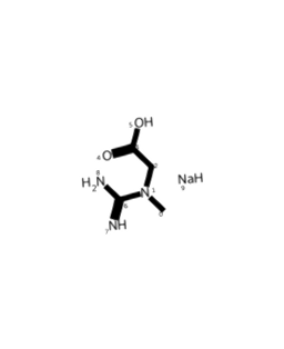 CN(CC(=O)O)C(=N)N.[NaH]